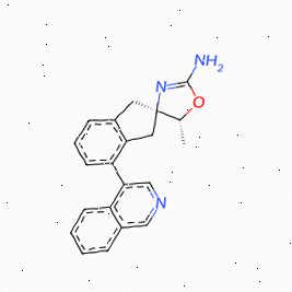 C[C@H]1OC(N)=N[C@@]12Cc1cccc(-c3cncc4ccccc34)c1C2